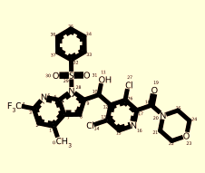 Cc1cc(C(F)(F)F)nc2c1cc(C(O)c1c(Cl)cnc(C(=O)N3CCOCC3)c1Cl)n2S(=O)(=O)c1ccccc1